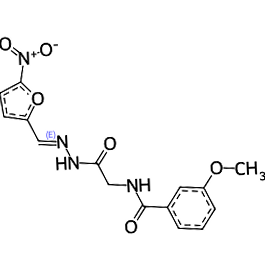 COc1cccc(C(=O)NCC(=O)N/N=C/c2ccc([N+](=O)[O-])o2)c1